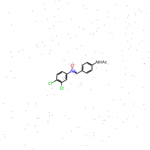 CC(=O)Nc1ccc(C=[N+]([O-])c2ccc(Cl)c(Cl)c2)cc1